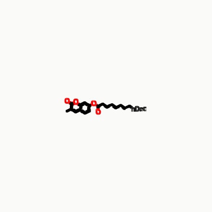 CCCCCCCCCCCCCCCCCC(=O)Oc1ccc2cc(C)c(=O)oc2c1